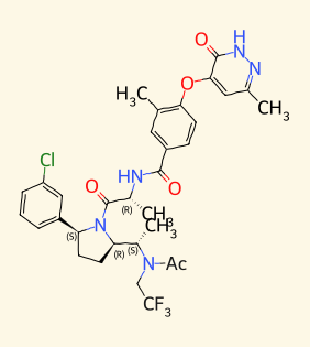 CC(=O)N(CC(F)(F)F)[C@@H](C)[C@H]1CC[C@@H](c2cccc(Cl)c2)N1C(=O)[C@@H](C)NC(=O)c1ccc(Oc2cc(C)n[nH]c2=O)c(C)c1